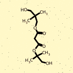 CC(C)(CO)COC(=O)CC(=O)OC(C)(C)CO